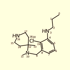 CCCNc1cccc(CN(C)C2(C)CCNCC2)c1Cl